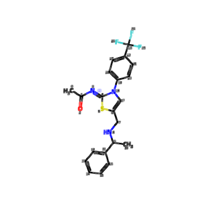 CC(=O)/N=c1\sc(CNC(C)c2ccccc2)cn1-c1ccc(C(F)(F)F)cc1